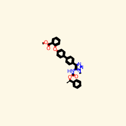 COC(=O)c1ccccc1Oc1ccc(-c2ccc(-c3nnn(C)c3NC(=O)O[C@H](C)c3ccccc3)cc2)cc1